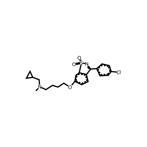 CN(CCCCOc1ccc2c(c1)S(=O)(=O)N=C2c1ccc(Cl)cc1)CC1CC1